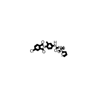 Cc1cc(NC(=O)NS(=O)(=O)C2CC=CS2)ccc1N1C(=O)c2ccc(Cl)cc2C1=O